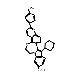 COc1ccc(-c2ccc3c4c(ccc3n2)-c2c(C3CCCCC3)c3ccc(C(=O)O)cc3n2CCN4)cc1